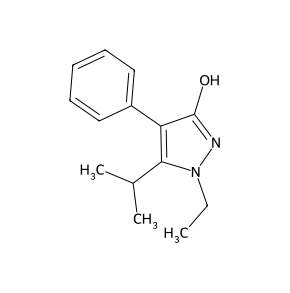 CCn1nc(O)c(-c2ccccc2)c1C(C)C